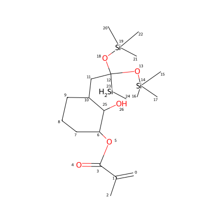 C=C(C)C(=O)OC1CCCC(CC(O[Si](C)(C)C)(O[Si](C)(C)C)[SiH2]C)C1O